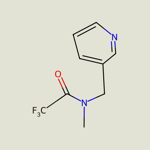 CN(Cc1cccnc1)C(=O)C(F)(F)F